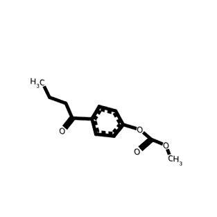 CCCC(=O)c1ccc(OC(=O)OC)cc1